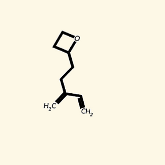 C=CC(=C)CCC1CCO1